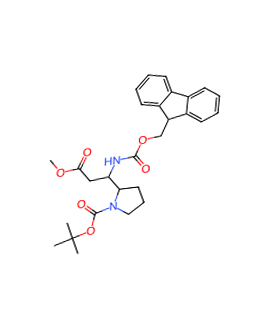 COC(=O)CC(NC(=O)OCC1c2ccccc2-c2ccccc21)C1CCCN1C(=O)OC(C)(C)C